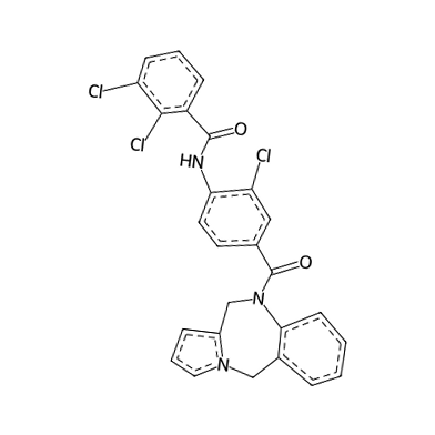 O=C(Nc1ccc(C(=O)N2Cc3cccn3Cc3ccccc32)cc1Cl)c1cccc(Cl)c1Cl